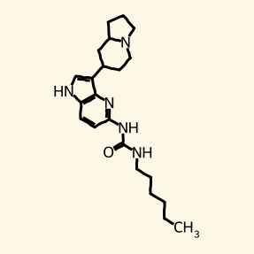 CCCCCCNC(=O)Nc1ccc2[nH]cc(C3CCN4CCCC4C3)c2n1